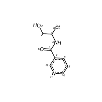 CCC(CO)NC(=O)c1cccnc1